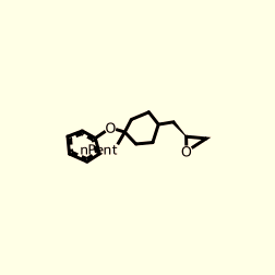 CCCCCC1(Oc2ccccc2)CCC(C[C@H]2CO2)CC1